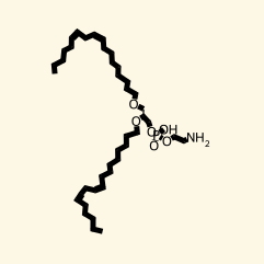 CCCCC/C=C\C/C=C\CCCCCCCCOC[C@H](COP(=O)(O)OCCN)OCCCCCCCC/C=C\C/C=C\CCCCC